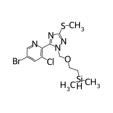 CSc1nc(-c2ncc(Br)cc2Cl)n(COCC[SiH](C)C)n1